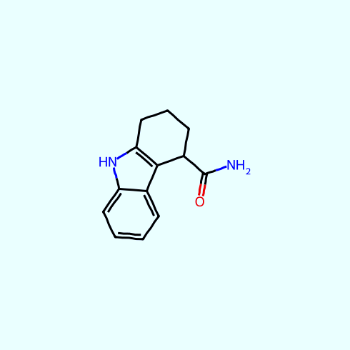 NC(=O)C1CCCc2[nH]c3ccccc3c21